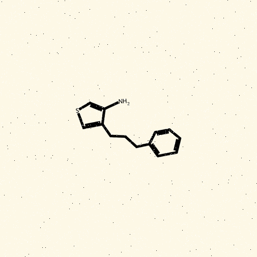 Nc1[c]scc1CCCc1ccccc1